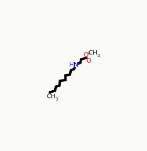 CCCCCCCCCCCNCCC(=O)OC